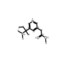 CCC(C)(c1cncc(CC(=O)OC)c1)N(C)C